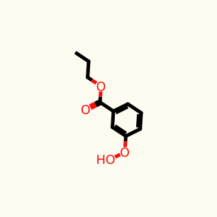 CCCOC(=O)c1cccc(OO)c1